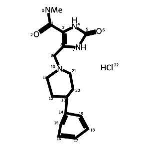 CNC(=O)c1[nH]c(=O)[nH]c1CN1CCC(c2ccccc2)CC1.Cl